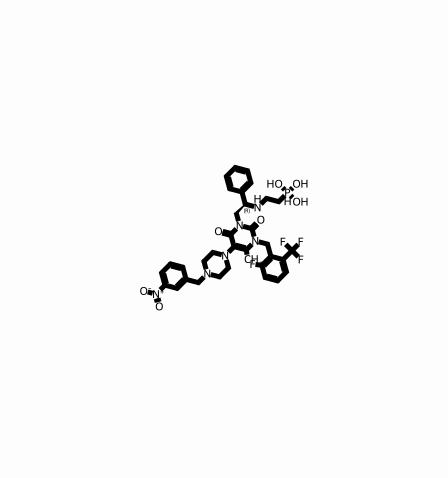 Cc1c(N2CCN(Cc3cccc([N+](=O)[O-])c3)CC2)c(=O)n(C[C@H](NCC[PH](O)(O)O)c2ccccc2)c(=O)n1Cc1c(F)cccc1C(F)(F)F